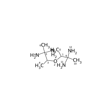 CC(OC(C)C(C)(N)N)C(C)(N)N